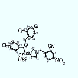 Br.N#Cc1cc([N+](=O)[O-])ccc1CN1C=CN(C(Cl)C(OCc2ccc(Cl)cc2Cl)c2ccc(Cl)cc2)C1